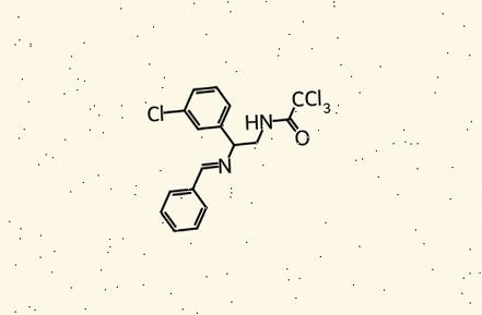 O=C(NCC(N=Cc1ccccc1)c1cccc(Cl)c1)C(Cl)(Cl)Cl